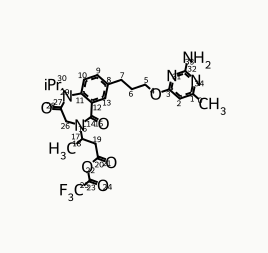 Cc1cc(OCCCc2ccc3c(c2)C(=O)N(C(C)CC(=O)OC(=O)C(F)(F)F)CC(=O)N3C(C)C)nc(N)n1